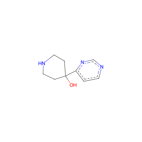 OC1(c2ccncn2)CCNCC1